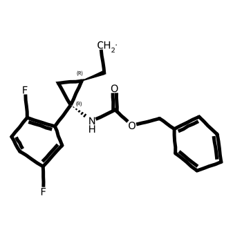 [CH2]C[C@@H]1C[C@]1(NC(=O)OCc1ccccc1)c1cc(F)ccc1F